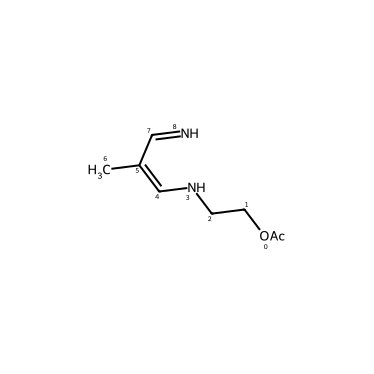 CC(=O)OCCN/C=C(/C)C=N